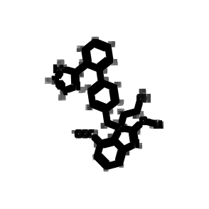 CCOC1=Nc2cccc(C(=O)[O-])c2[N+]1(CCO)Cc1ccc(-c2ccccc2-c2nnn[nH]2)cc1